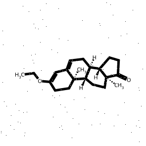 CCOC1=CC2=CC[C@@H]3[C@H](CC[C@]4(C)C(=O)CC[C@@H]34)[C@@]2(C)CC1